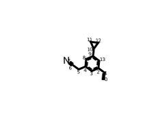 C=Cc1cc(CC#N)cc(C2CC2)c1